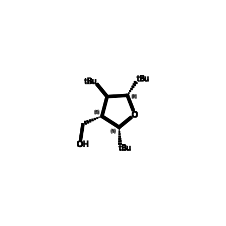 CC(C)(C)C1[C@@H](CO)[C@@H](C(C)(C)C)O[C@H]1C(C)(C)C